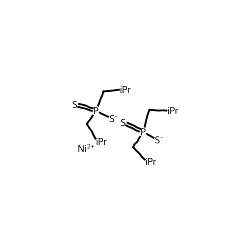 CC(C)CP(=S)([S-])CC(C)C.CC(C)CP(=S)([S-])CC(C)C.[Ni+2]